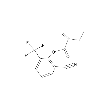 C=C(CC)C(=O)Oc1c(C#N)cccc1C(F)(F)F